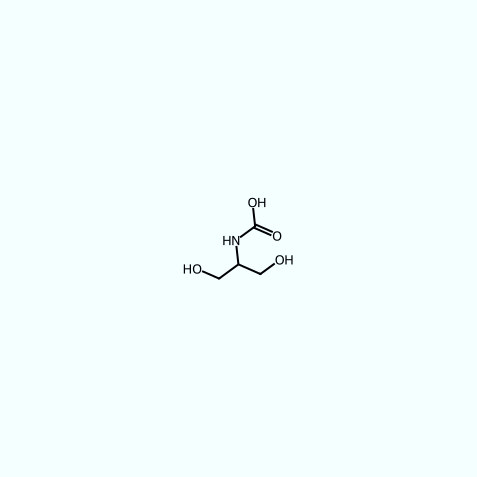 O=C(O)NC(CO)CO